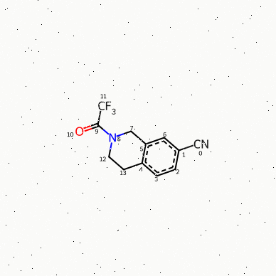 N#Cc1ccc2c(c1)CN(C(=O)C(F)(F)F)CC2